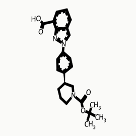 CC(C)(C)OC(=O)N1CCC[C@@H](c2ccc(-n3cc4cccc(C(=O)O)c4n3)cc2)C1